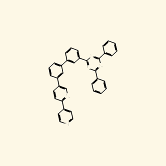 c1ccc(-c2nc(-c3ccccc3)nc(-c3cccc(-c4cccc(-c5ccc(-c6ccncc6)nc5)c4)c3)n2)cc1